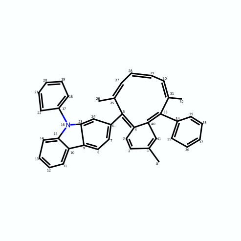 Cc1ccc2c(-c3ccc4c5ccccc5n(-c5ccccc5)c4c3)c(C)ccccc(C)c(-c3ccccc3)c2c1